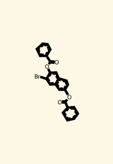 O=C(Oc1ccc2cc(OC(=O)c3ccccc3)c(Br)cc2c1)c1ccccc1